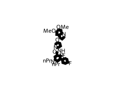 CCCN(CCC)C1C=C(C(=O)Nc2ccc(Oc3ccnc4cc(OC)c(OC)cc34)cn2)C(=O)C(c2ccc(F)cc2F)=C1